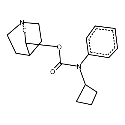 O=C(OC1CN2CCC1CC2)N(c1ccccc1)C1CCC1